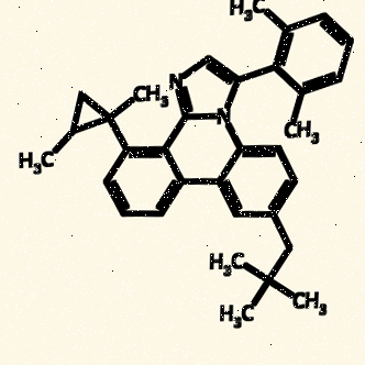 Cc1cccc(C)c1-c1cnc2c3c(C4(C)CC4C)cccc3c3cc(CC(C)(C)C)ccc3n12